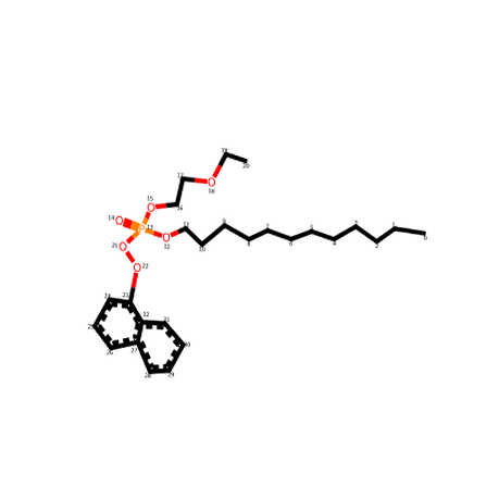 CCCCCCCCCCCCOP(=O)(OCCOCC)OOc1cccc2ccccc12